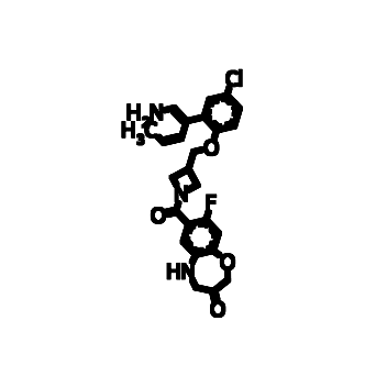 C/C=C\C(=C/N)c1cc(Cl)ccc1OCC1CN(C(=O)c2cc3c(cc2F)OCC(=O)CN3)C1